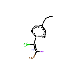 CCc1ccc(/C(Cl)=C(/Br)I)cc1